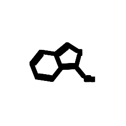 CC(C)(C)c1scc2ccccc12